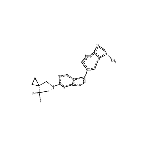 Cc1cnc2ncc(-c3ccn4nc(NCC5(C(F)(F)F)CC5)ncc34)cn12